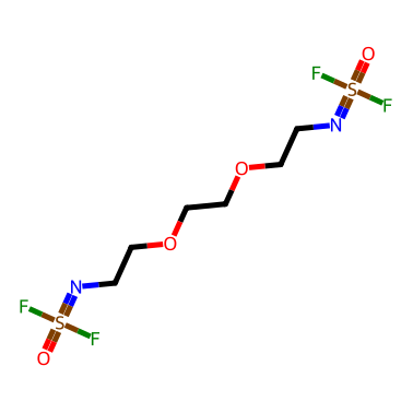 O=S(F)(F)=NCCOCCOCCN=S(=O)(F)F